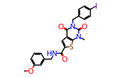 COc1cccc(CNC(=O)c2cc3c(=O)n(Cc4ccc(I)cc4)c(=O)n(C)c3s2)c1